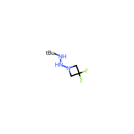 CC(C)(C)NNN1CC(F)(F)C1